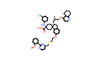 COc1ccccc1-c1nccc(CSCCOc2ccc3c(c2)C2(CCC(Nc4cccc(Cl)c4)(C(=O)O)CC2)[C@@H](C[C@@H](C)COc2ccnc4c2[C@H](C)CCC4)C3)n1